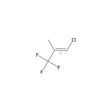 C/C(=C\Cl)C(F)(F)F